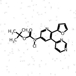 CC(C)(C)OC(=O)N(Cl)c1cnc(-c2ccco2)c(-c2ccncn2)c1